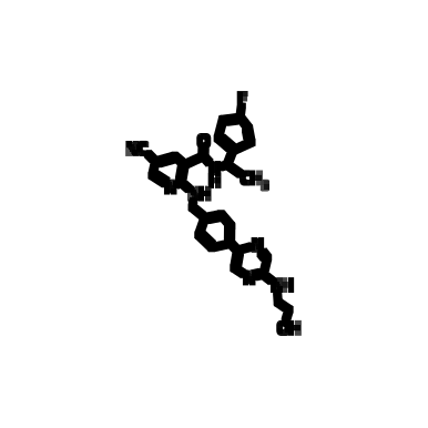 CC(NC(=O)c1cc(C#N)cnc1NCc1ccc(-c2cnc(NCCO)cn2)cc1)c1ccc(F)cc1